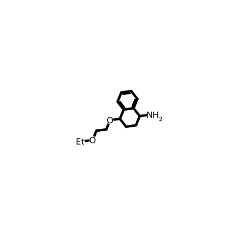 CCOCCOC1CCC(N)c2ccccc21